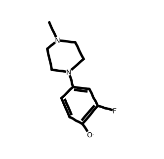 CN1CCN(c2ccc([O])c(F)c2)CC1